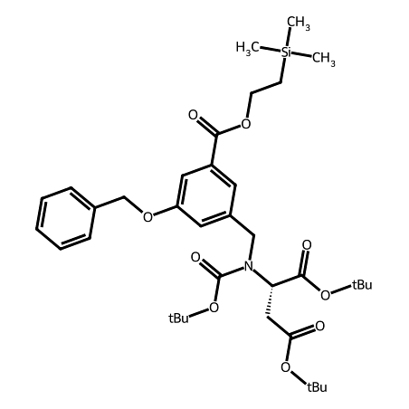 CC(C)(C)OC(=O)C[C@@H](C(=O)OC(C)(C)C)N(Cc1cc(OCc2ccccc2)cc(C(=O)OCC[Si](C)(C)C)c1)C(=O)OC(C)(C)C